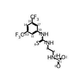 O=[SH](=O)NCCNC(=S)Nc1cc(C(F)(F)F)cc(C(F)(F)F)c1